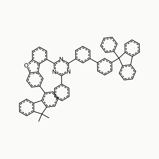 CC1(C)c2ccccc2-c2c(-c3ccc4oc5cccc(-c6nc(-c7ccccc7)nc(-c7cccc(-c8cccc(C9(c%10ccccc%10)c%10ccccc%10-c%10ccccc%109)c8)c7)n6)c5c4c3)cccc21